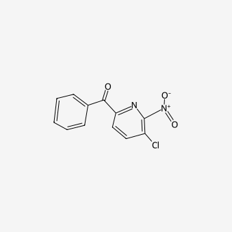 O=C(c1ccccc1)c1ccc(Cl)c([N+](=O)[O-])n1